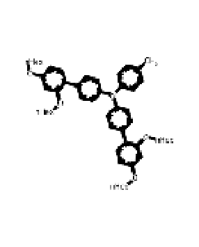 CCCCCCOc1ccc(-c2ccc(N(c3ccc(C)cc3)c3ccc(-c4ccc(OCCCCCC)cc4OCCCCCC)cc3)cc2)c(OCCCCCC)c1